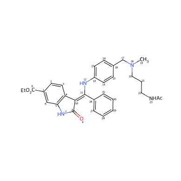 CCOC(=O)c1ccc2c(c1)NC(=O)C2=C(Nc1ccc(CN(C)CCCNC(C)=O)cc1)c1ccccc1